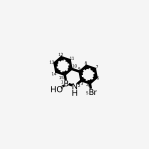 OB1Nc2c(Br)cccc2-c2ccccc21